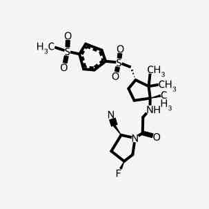 CC1(C)[C@@H](CS(=O)(=O)c2ccc(S(C)(=O)=O)cc2)CC[C@@]1(C)NCC(=O)N1C[C@@H](F)C[C@H]1C#N